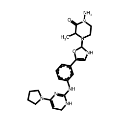 CC1C(=O)N(N)CCN1C1NC=C(c2cccc(NC3=NC(N4CCCC4)=CCN3)c2)O1